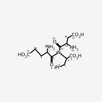 CC(C)CC(C(=O)O)N(C(=O)C(N)CCC(=O)O)C(=O)C(N)CC(=O)O